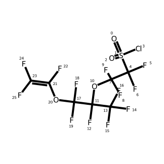 O=S(=O)(Cl)C(F)(F)C(F)(F)OC(F)(C(F)(F)F)C(F)(F)OC(F)=C(F)F